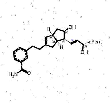 CCCCC[C@H](O)/C=C/[C@@H]1[C@H]2CC(CCc3cccc(C(N)=O)c3)=C[C@H]2C[C@H]1O